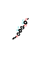 CCCCOC1CCC(c2ccc(C3CCC(COc4ccc(OCC)c(F)c4F)CC3)c(F)c2F)CC1